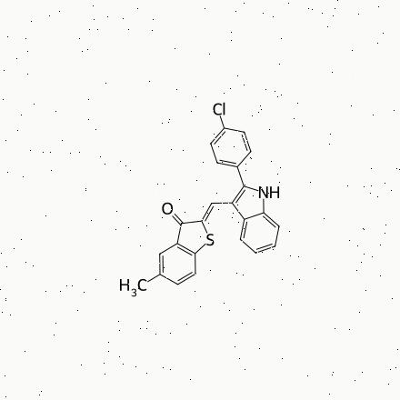 Cc1ccc2c(c1)C(=O)C(=Cc1c(-c3ccc(Cl)cc3)[nH]c3ccccc13)S2